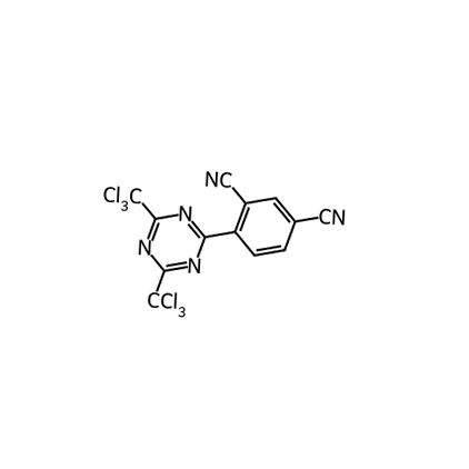 N#Cc1ccc(-c2nc(C(Cl)(Cl)Cl)nc(C(Cl)(Cl)Cl)n2)c(C#N)c1